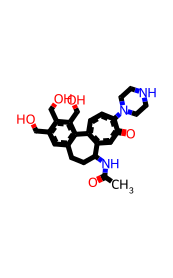 CC(=O)NC1CCc2cc(CO)c(CO)c(CO)c2-c2ccc(N3CCNCC3)c(=O)cc21